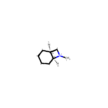 CN1C[C@@H]2CCCC[C@@H]21